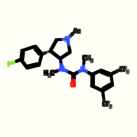 CC(=O)N1C[C@@H](N(C)C(=O)N(C)c2cc(C(F)(F)F)cc(C(F)(F)F)c2)[C@H](c2ccc(F)cc2)C1